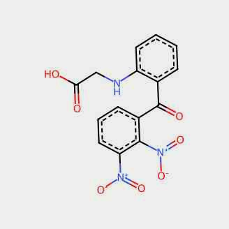 O=C(O)CNc1ccccc1C(=O)c1cccc([N+](=O)[O-])c1[N+](=O)[O-]